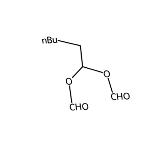 CCCCCC(OC=O)OC=O